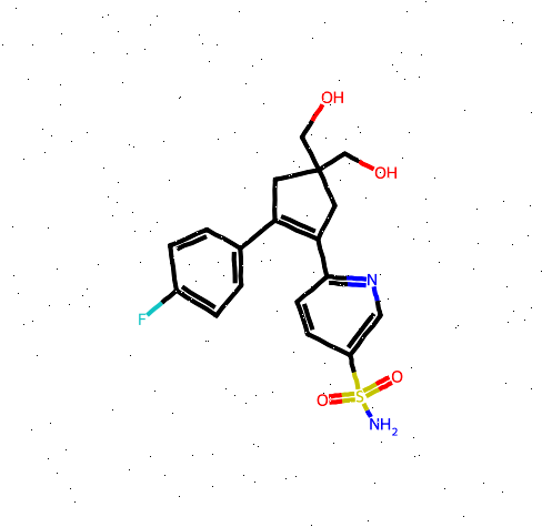 NS(=O)(=O)c1ccc(C2=C(c3ccc(F)cc3)CC(CO)(CO)C2)nc1